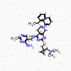 CCc1cccc2cccc(N3CCc4c(nc(OCC5(CN(C)C)CC5)nc4NCc4cnc(C)nc4N)C3)c12